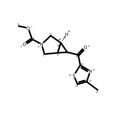 COC(=O)N1CC2C(C(=O)c3nc(C)cs3)[C@@H]2C1